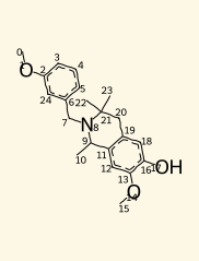 COc1cccc(CN2C(C)c3cc(OC)c(O)cc3CC2(C)C)c1